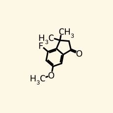 COc1cc(F)c2c(c1)C(=O)CC2(C)C